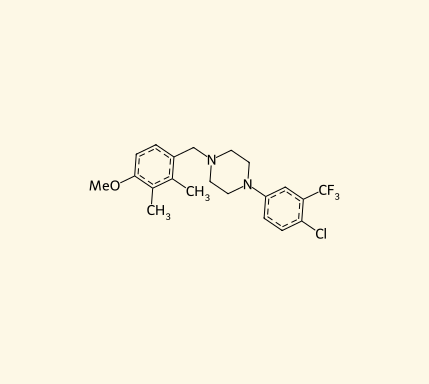 COc1ccc(CN2CCN(c3ccc(Cl)c(C(F)(F)F)c3)CC2)c(C)c1C